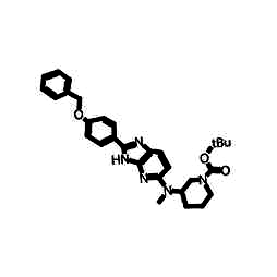 CN(c1ccc2nc(-c3ccc(OCc4ccccc4)cc3)[nH]c2n1)C1CCCN(C(=O)OC(C)(C)C)C1